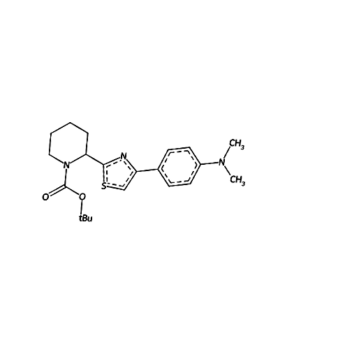 CN(C)c1ccc(-c2csc(C3CCCCN3C(=O)OC(C)(C)C)n2)cc1